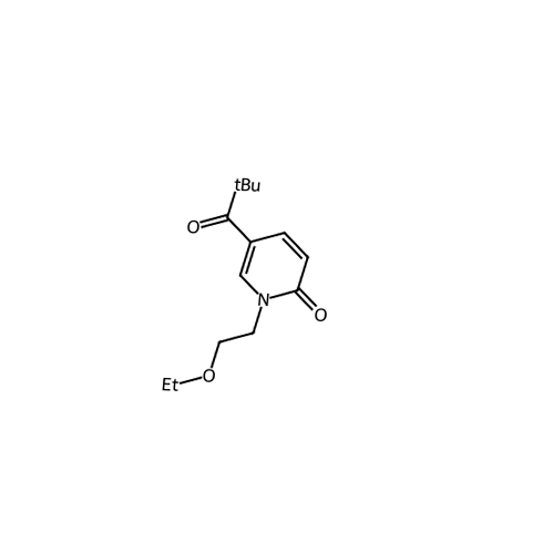 CCOCCn1cc(C(=O)C(C)(C)C)ccc1=O